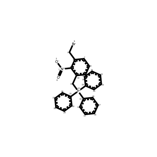 O=[N+]([O-])c1c(CBr)cccc1C[P+](c1ccccc1)(c1ccccc1)c1ccccc1